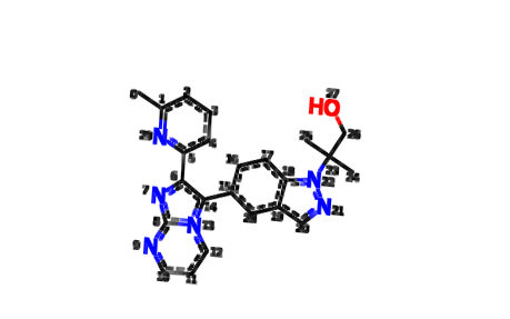 Cc1cccc(-c2nc3ncccn3c2-c2ccc3c(cnn3C(C)(C)CO)c2)n1